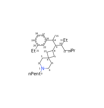 CCCCCN1CCC2(CC1)CC(C(C(CC)CC(C)C)C(C)c1cccc(CC)c1)C2